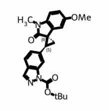 COc1ccc2c(c1)[C@]1(C[C@H]1c1ccc3cnn(C(=O)OC(C)(C)C)c3c1)C(=O)N2C